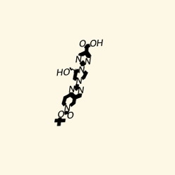 CC(C)(C)OC(=O)N1CCc2nc(N3CCN(c4ncc(C(=O)O)cn4)[C@@H](CO)C3)ncc2C1